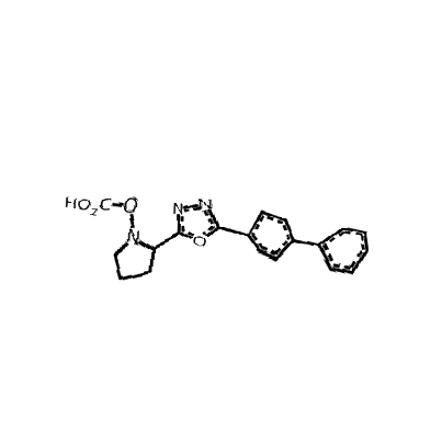 O=C(O)ON1CCCC1c1nnc(-c2ccc(-c3ccccc3)cc2)o1